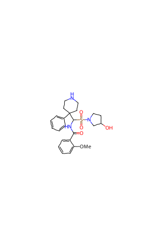 COc1ccccc1C(=O)NC(C1(c2ccccc2)CCNCC1)S(=O)(=O)N1CCC(O)C1